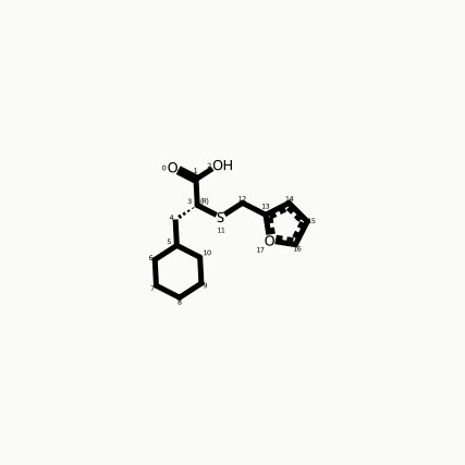 O=C(O)[C@@H](CC1CCCCC1)SCc1ccco1